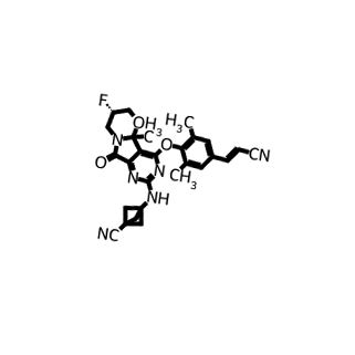 Cc1cc(/C=C/C#N)cc(C)c1Oc1nc(NC23CC(C#N)(C2)C3)nc2c1C1(C)OC[C@@H](F)CN1C2=O